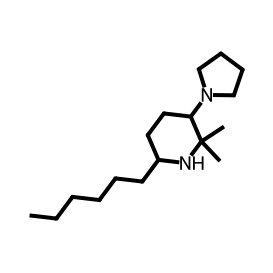 CCCCCCC1CCC(N2CCCC2)C(C)(C)N1